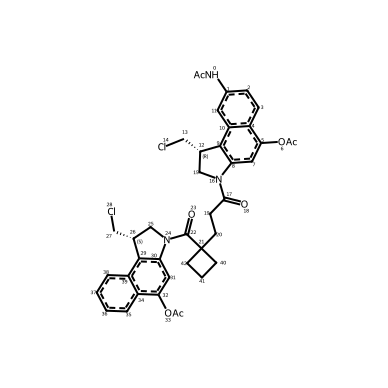 CC(=O)Nc1ccc2c(OC(C)=O)cc3c(c2c1)[C@@H](CCl)CN3C(=O)CCC1(C(=O)N2C[C@@H](CCl)c3c2cc(OC(C)=O)c2ccccc32)CCC1